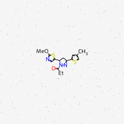 CCC(=O)N1N=C(c2cc(C)cs2)CC1c1cnc(OC)s1